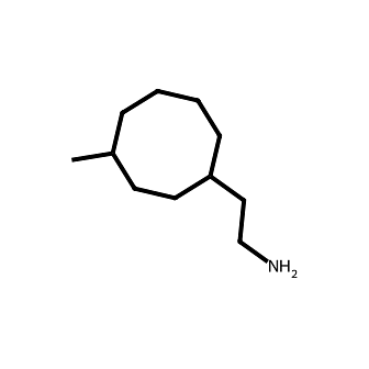 CC1CCCCC(CCN)CC1